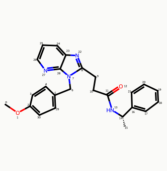 COc1ccc(Cn2c(CCC(=O)N[C@@H](C)c3ccccc3)nc3cccnc32)cc1